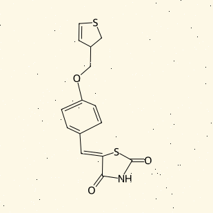 O=C1NC(=O)/C(=C/c2ccc(OCC3C=CSC3)cc2)S1